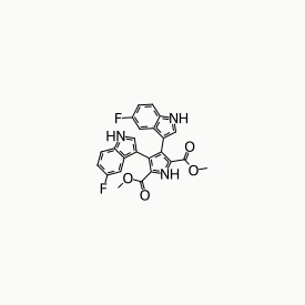 COC(=O)c1[nH]c(C(=O)OC)c(-c2c[nH]c3ccc(F)cc23)c1-c1c[nH]c2ccc(F)cc12